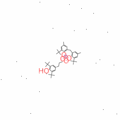 Cc1cc2c(c(C(C)(C)C)c1)OP(=O)(OCCCc1cc(C(C)(C)C)c(O)c(C(C)(C)C)c1)Oc1c(cc(C)cc1C(C)(C)C)C2